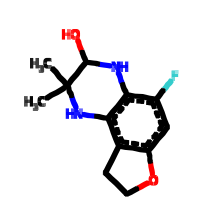 CC1(C)Nc2c3c(cc(F)c2NC1O)OCC3